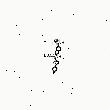 CCOC(=O)C1(NC(=O)c2ccc(-c3ccc(C)cc3)o2)Cc2ccc(C(=N)NO)cc2C1